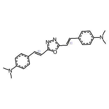 CN(C)c1ccc(/C=C/c2nnc(/C=C/c3ccc(N(C)C)cc3)o2)cc1